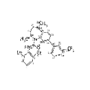 CCc1cccc(CC)c1NC(=O)N1c2nc(-c3cccc(C(F)(F)F)c3)ccc2N(C)CC[C@H]1C